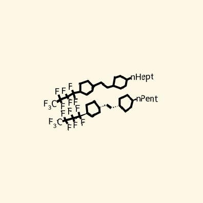 CCCCCCCC1CCC(CCC2CCC(C(F)(F)C(F)(F)C(F)(F)C(F)(F)F)CC2)CC1.CCCCC[C@H]1CC[C@H](CC[C@H]2CC[C@H](C(F)(F)C(F)(F)C(F)(F)C(F)(F)F)CC2)CC1